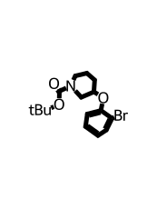 CC(C)(C)OC(=O)N1CCCC(Oc2ccccc2Br)C1